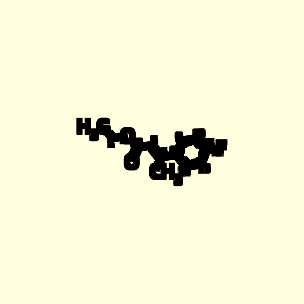 CCOC(=O)/C=C(\C)c1ccc(F)cc1